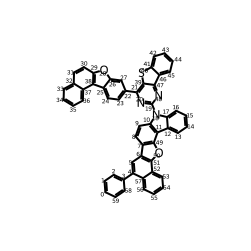 c1ccc(-c2cc3c4ccc5c(c6ccccc6n5-c5nc(-c6ccc7c(c6)oc6ccc8ccccc8c67)c6sc7ccccc7c6n5)c4oc3c3ccccc23)cc1